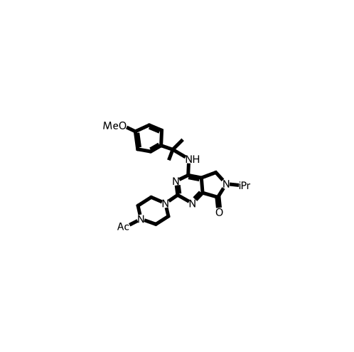 COc1ccc(C(C)(C)Nc2nc(N3CCN(C(C)=O)CC3)nc3c2CN(C(C)C)C3=O)cc1